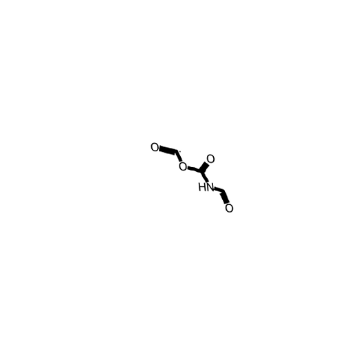 O=[C]OC(=O)NC=O